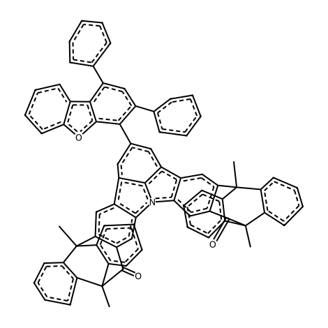 CC12C(=O)c3cc4c(cc3C(C)(c3ccccc31)c1ccccc12)c1cc(-c2c(-c3ccccc3)cc(-c3ccccc3)c3c2oc2ccccc23)cc2c3cc5c(cc3n4c12)C(=O)C1(C)c2ccccc2C5(C)c2ccccc21